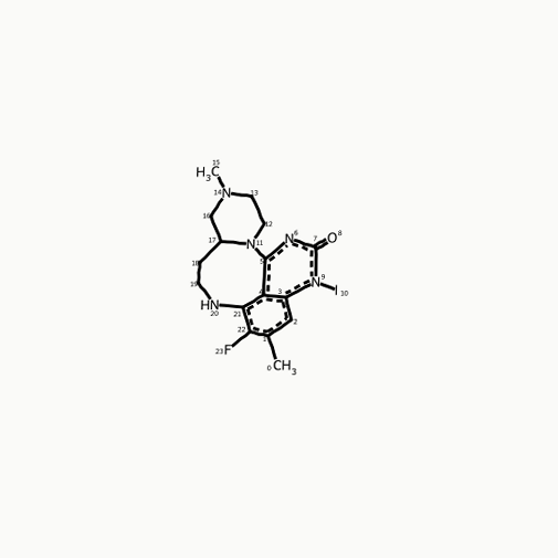 Cc1cc2c3c(nc(=O)n2I)N2CCN(C)CC2CCNc3c1F